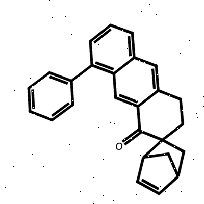 O=C1c2cc3c(-c4ccccc4)cccc3cc2CCC12CC1C=CC2C1